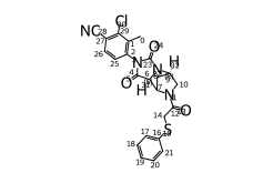 Cc1c(N2C(=O)[C@@H]3C4C[C@H](CN4C(=O)CSc4ccccc4)N3C2=O)ccc(C#N)c1Cl